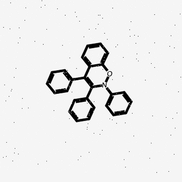 c1ccc(C2=C(c3ccccc3)N(c3ccccc3)Oc3ccccc32)cc1